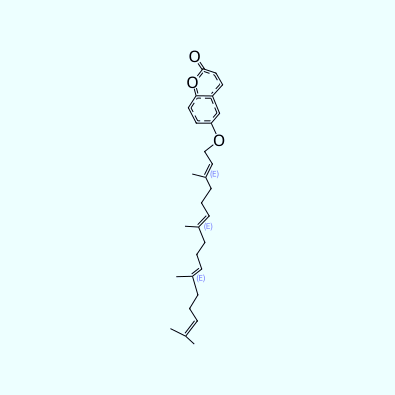 CC(C)=CCC/C(C)=C/CC/C(C)=C/CC/C(C)=C/COc1ccc2oc(=O)ccc2c1